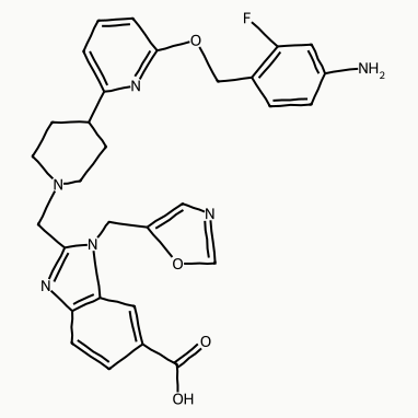 Nc1ccc(COc2cccc(C3CCN(Cc4nc5ccc(C(=O)O)cc5n4Cc4cnco4)CC3)n2)c(F)c1